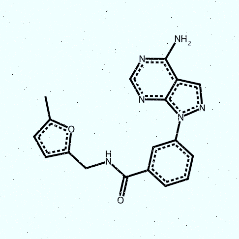 Cc1ccc(CNC(=O)c2cccc(-n3ncc4c(N)ncnc43)c2)o1